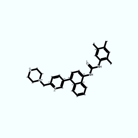 Cc1cc(C)c(NC(=O)Nc2ccc(-c3ccc(CN4CCOCC4)nc3)c3ccccc23)cc1C